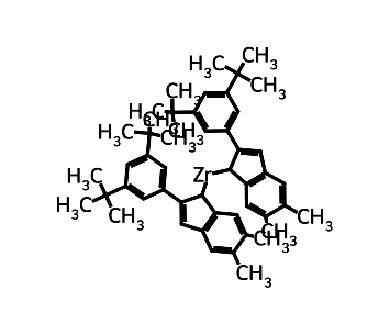 Cc1cc2c(cc1C)[CH]([Zr][CH]1C(c3cc(C(C)(C)C)cc(C(C)(C)C)c3)=Cc3cc(C)c(C)cc31)C(c1cc(C(C)(C)C)cc(C(C)(C)C)c1)=C2